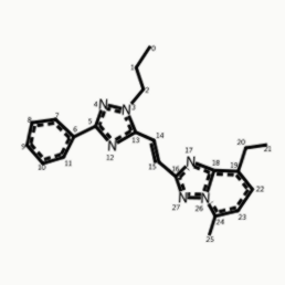 CCCn1nc(-c2ccccc2)nc1/C=C/c1nc2c(CC)ccc(C)n2n1